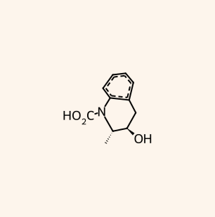 C[C@H]1[C@H](O)Cc2ccccc2N1C(=O)O